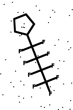 FC(F)(F)C(F)(F)C(F)(F)C(F)(F)C1CCCC1